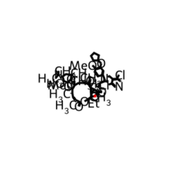 CC[C@H]1OC(=O)/C(C)=C\[C@H](C)[C@@H](O[C@@H]2O[C@H](C)C[C@H](N(C)C)[C@H]2O)[C@](C)(OC)C[C@@H](C)C(=O)[C@H]2[C@H]3C2(SCCN(Cc2c(Cl)cncc2Cl)c2ccc(OC)c(OC4CCCC4)c2)C(=O)O[C@]13C